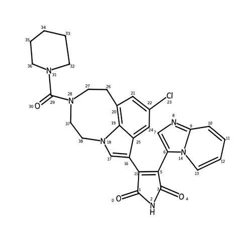 O=C1NC(=O)C(c2cnc3ccccn23)=C1c1cn2c3c(cc(Cl)cc13)CCN(C(=O)N1CCCCC1)CC2